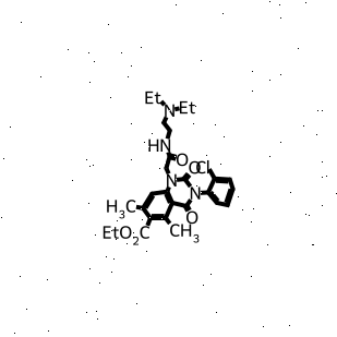 CCOC(=O)c1c(C)cc2c(c1C)c(=O)n(-c1ccccc1Cl)c(=O)n2CC(=O)NCCN(CC)CC